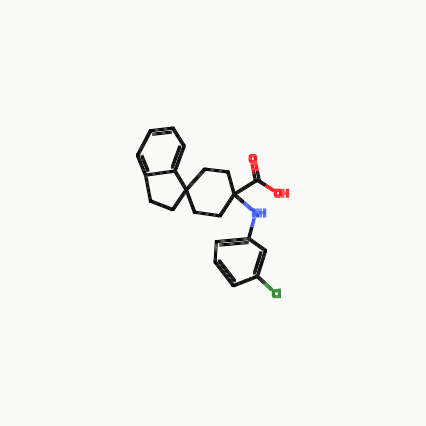 O=C(O)C1(Nc2cccc(Cl)c2)CCC2(CCc3ccccc32)CC1